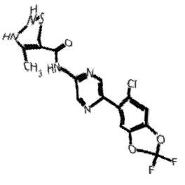 CC1=C(C(=O)Nc2cnc(-c3cc4c(cc3Cl)OC(F)(F)O4)cn2)SNN1